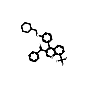 O=C(c1ccccc1)c1cnc2c(C(F)(F)F)cccc2c1-c1cccc(OCC2CCCCC2)c1